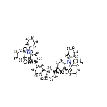 COC12CCCCC1(C)N(c1ccccc1)c1ccc(-c3ccc4c(c3)-c3cc(-c5ccc6c(c5)C5(OC)CCCCC5(C)N6c5ccccc5)ccc3C4)cc12